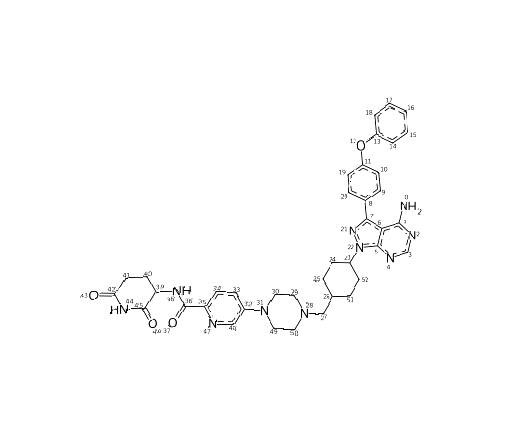 Nc1ncnc2c1c(-c1ccc(Oc3ccccc3)cc1)nn2C1CCC(CN2CCN(c3ccc(C(=O)NC4CCC(=O)NC4=O)nc3)CC2)CC1